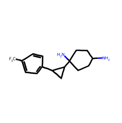 NC1CCC(N)(C2CC2c2ccc(C(F)(F)F)cc2)CC1